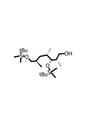 C[C@@H](CO[Si](C)(C)C(C)(C)C)C[C@H](C)[C@@H](O[Si](C)(C)C(C)(C)C)[C@@H](C)CO